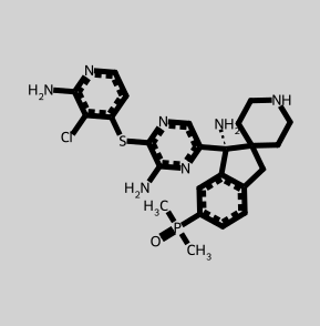 CP(C)(=O)c1ccc2c(c1)[C@@](N)(c1cnc(Sc3ccnc(N)c3Cl)c(N)n1)C1(CCNCC1)C2